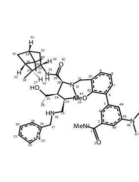 CNC(=O)c1cc(-c2cccc(CN3O[C@@H](CNCc4ccccn4)[C@@H]([C@H](C)O)[C@H]3C(=O)N[C@H]3C[C@H]4C[C@@H]([C@@H]3C)C4(C)C)c2OC)cc(N(C)C)c1